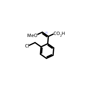 CO/C=C(/C(=O)O)c1ccccc1CCl